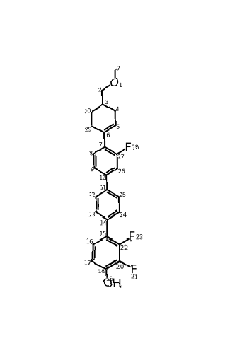 COCC1CC=C(c2ccc(-c3ccc(-c4ccc(O)c(F)c4F)cc3)cc2F)CC1